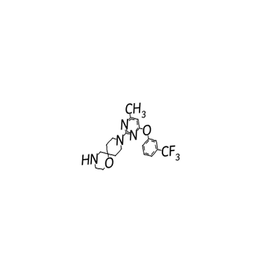 Cc1cc(Oc2cccc(C(F)(F)F)c2)nc(N2CCC3(CC2)CNCCO3)n1